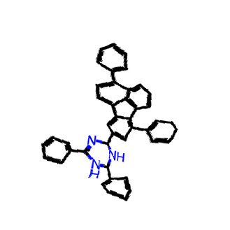 C1=CC(c2cc(C3N=C(c4ccccc4)NC(c4ccccc4)N3)cc3c2-c2cccc4c(-c5ccccc5)ccc-3c24)=CCC1